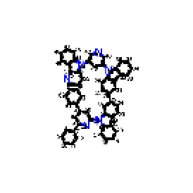 c1ccc(-c2cc(-c3ccccc3)nc(-n3c4ccccc4c4ccc(-c5ccc6c(c5)c5ccccc5n6-c5cncc(-n6c7ccccc7c7ncccc76)c5)cc43)c2)cc1